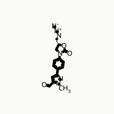 Cn1nc(-c2ccc(N3C[C@H](CN=[N+]=[N-])OC3=O)cc2)cc1C=O